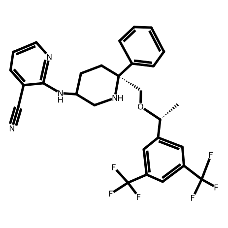 C[C@@H](OC[C@@]1(c2ccccc2)CCC(Nc2ncccc2C#N)CN1)c1cc(C(F)(F)F)cc(C(F)(F)F)c1